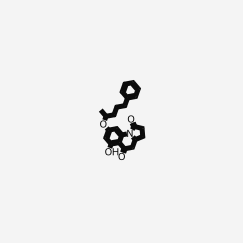 CC(CCCc1ccccc1)Oc1cc(O)c2c(c1)N1C(=O)CCC1CC2=O